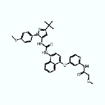 COCC(=O)Nc1cc(Oc2ccc(NC(=O)Nc3cc(C(C)(C)C)nn3-c3ccc(SC)cc3)c3ccccc23)ccn1